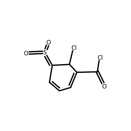 O=C(Cl)C1=CC=CC(=S(=O)=O)C1Cl